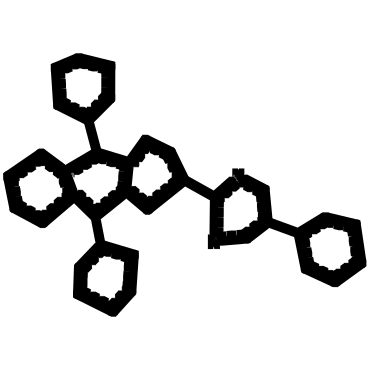 c1ccc(-c2cnc(-c3ccc4c(-c5ccccc5)c5ccccc5c(-c5ccccc5)c4c3)nc2)cc1